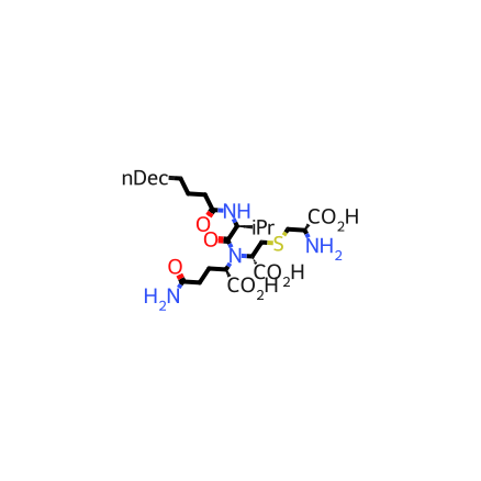 CCCCCCCCCCCCCC(=O)N[C@H](C(=O)N([C@H](CCC(N)=O)C(=O)O)[C@H](CSC[C@H](N)C(=O)O)C(=O)O)C(C)C